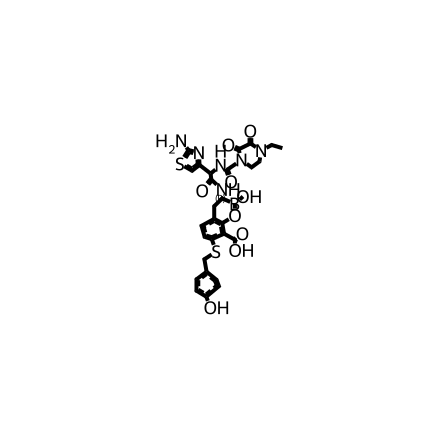 CCN1CCN(C(=O)NC(C(=O)N[C@H]2Cc3ccc(SCc4ccc(O)cc4)c(C(=O)O)c3OB2O)c2csc(N)n2)C(=O)C1=O